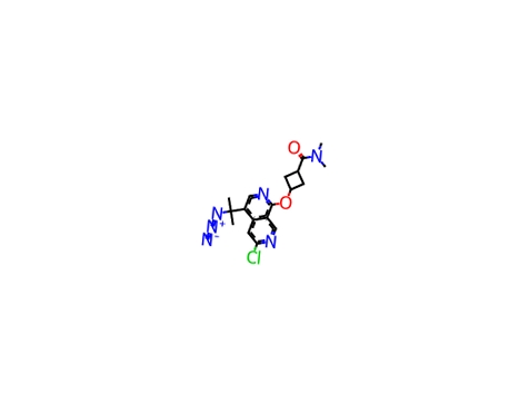 CN(C)C(=O)C1CC(Oc2ncc(C(C)(C)N=[N+]=[N-])c3cc(Cl)ncc23)C1